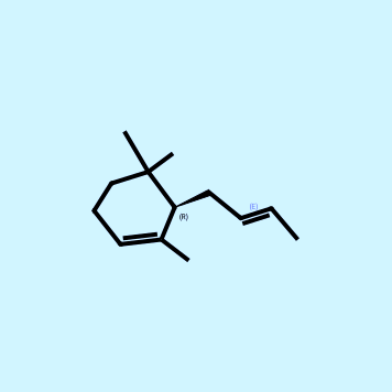 C/C=C/C[C@H]1C(C)=CCCC1(C)C